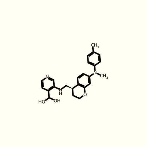 Cc1ccc(N(C)c2ccc3c(c2)OCC[C@H]3CNc2cnccc2C(O)O)cc1